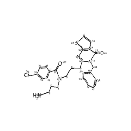 NCCCN(CCCc1nc2sccc2c(=O)n1Cc1ccccc1)C(=O)c1ccc(Cl)cc1